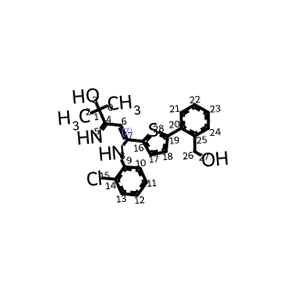 CC(C)(O)C(=N)/C=C(\Nc1ccccc1Cl)c1ccc(-c2ccccc2CO)s1